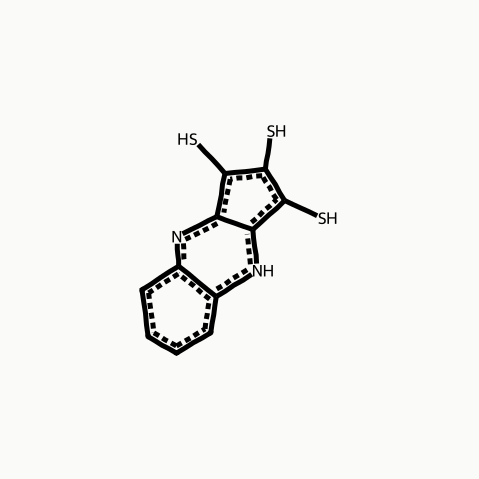 Sc1c2nc3ccccc3[nH]c-2c(S)c1S